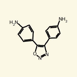 Nc1ccc(-c2nnoc2-c2ccc(N)cc2)cc1